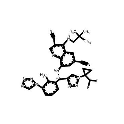 Cc1c([C@H](Nc2cc(C#N)cc3c(NCC(C)(C)C)c(C#N)cnc23)c2cn(C3(C(F)F)CC3)nn2)cccc1-n1cnnn1